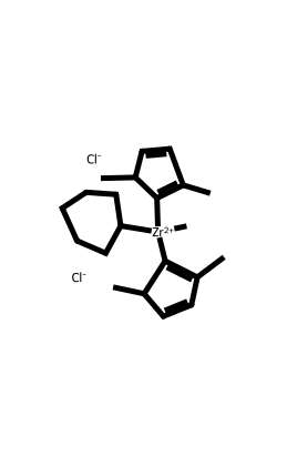 CC1=[C]([Zr+2]([CH3])([C]2=C(C)C=CC2C)[CH]2CCCCC2)C(C)C=C1.[Cl-].[Cl-]